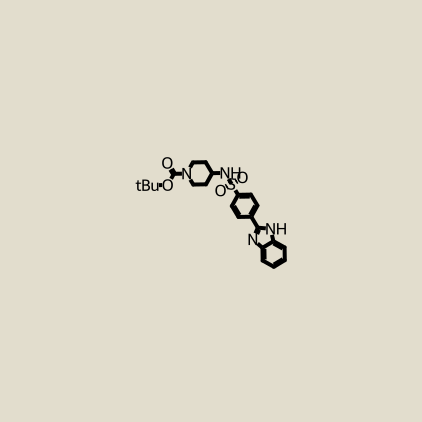 CC(C)(C)OC(=O)N1CCC(NS(=O)(=O)c2ccc(-c3nc4ccccc4[nH]3)cc2)CC1